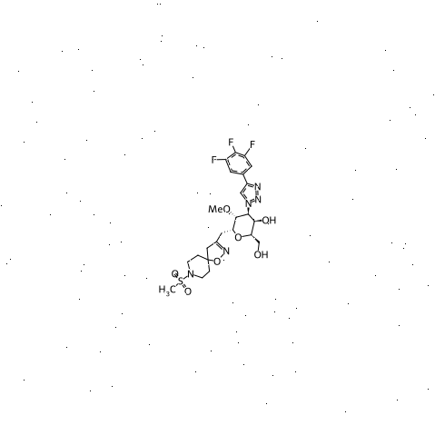 CO[C@@H]1[C@@H](n2cc(-c3cc(F)c(F)c(F)c3)nn2)[C@@H](O)[C@@H](CO)O[C@@H]1CC1=NOC2(CCN(S(C)(=O)=O)CC2)C1